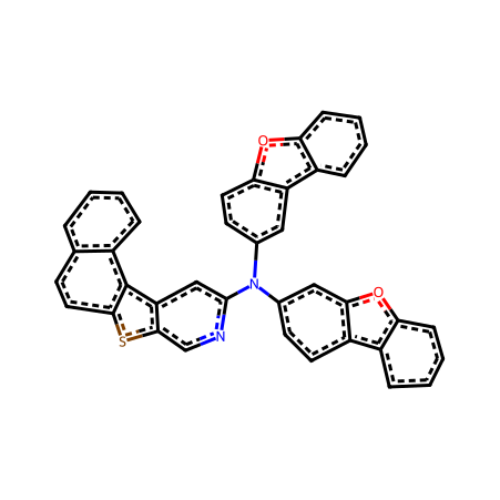 c1ccc2c(c1)ccc1sc3cnc(N(c4ccc5c(c4)oc4ccccc45)c4ccc5oc6ccccc6c5c4)cc3c12